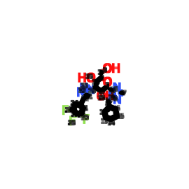 OC[C@H]1O[C@@H](c2ncnn2Cc2ccccc2)[C@H](O)[C@@H](n2cc(-c3cc(F)c(F)c(F)c3)nn2)[C@H]1O